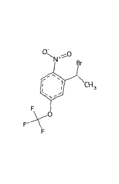 CC(Br)c1cc(OC(F)(F)F)ccc1[N+](=O)[O-]